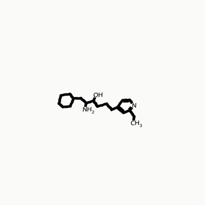 CCc1cc(CCCC(O)C(N)CC2CCCCC2)ccn1